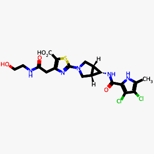 Cc1[nH]c(C(=O)N[C@@H]2[C@@H]3CN(c4nc(CC(=O)NCCO)c(C(=O)O)s4)C[C@@H]32)c(Cl)c1Cl